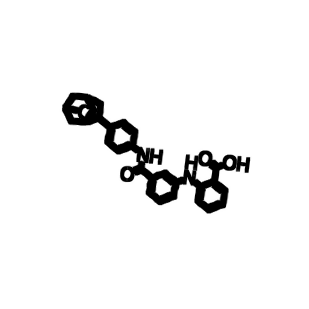 O=C(Nc1ccc(C23CC4CC(CC2C4)C3)cc1)c1cccc(Nc2ccccc2C(=O)O)c1